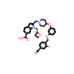 N#Cc1ccc(COc2cccc(OC3CCN(Cc4cc5ccc(C(=O)O)cc5n4C[C@@H]4CCO4)CC3)c2)c(F)c1